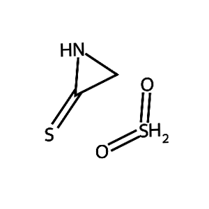 O=[SH2]=O.S=C1CN1